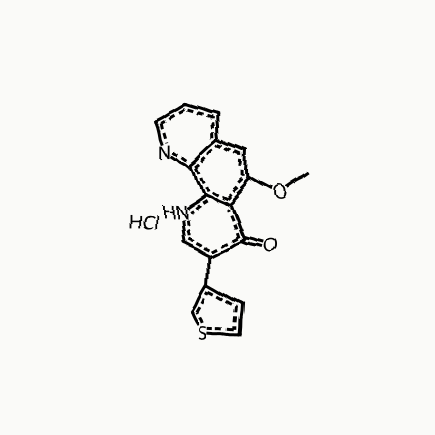 COc1cc2cccnc2c2[nH]cc(-c3ccsc3)c(=O)c12.Cl